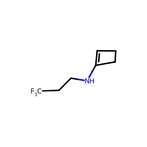 FC(F)(F)CCNC1=CCC1